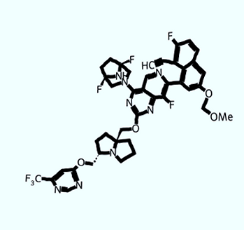 C#Cc1c(F)ccc2cc(OCOC)cc(-c3ncc4c(N5C[C@]6(F)CC[C@](F)(C5)N6)nc(OC[C@@]56CCCN5[C@H](COc5cc(C(F)(F)F)ncn5)CC6)nc4c3F)c12